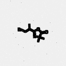 CC(CBr)C1=NC(C)(C)C(=O)O1